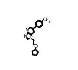 FC(F)(F)c1ccc(-c2cnc3ncn(CCOC4CCCC4)c3c2)cc1